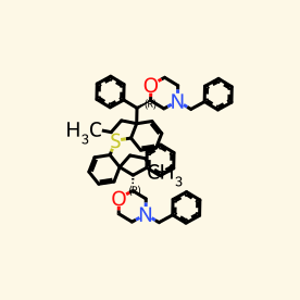 CCCC1(C(c2ccccc2)[C@@H]2CN(Cc3ccccc3)CCO2)C=CC=CC1SC1C=CC=CC1(CCC)C(c1ccccc1)[C@@H]1CN(Cc2ccccc2)CCO1